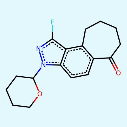 O=C1CCCCc2c1ccc1c2c(F)nn1C1CCCCO1